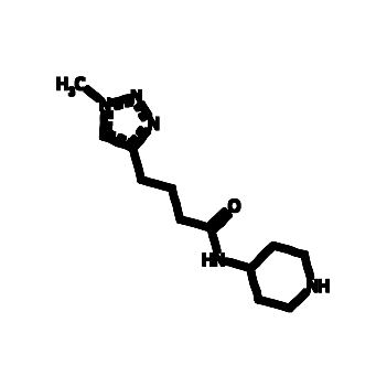 Cn1cc(CCCC(=O)NC2CCNCC2)nn1